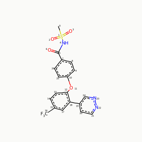 CS(=O)(=O)NC(=O)c1ccc(Oc2ccc(C(F)(F)F)cc2-c2ccnnc2)cc1